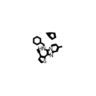 C#Cc1ccsc1-c1nc2cc(C)ccn2c1NCC1CCCCC1.c1cc2cc-2c1